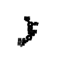 CC(C)c1cc(-c2cncs2)cc(C(C)C)c1CC(=O)NS(=O)(=O)c1ccc(CN(C)C)cc1